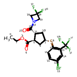 CCOC(=O)[C@@H]1C[C@@H](Sc2ccc(Br)cc2C(F)(F)F)C[C@H]1C(=O)N1CC(F)(F)C1